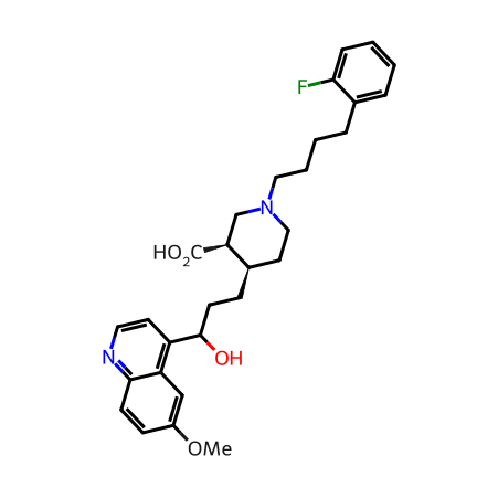 COc1ccc2nccc(C(O)CC[C@@H]3CCN(CCCCc4ccccc4F)C[C@@H]3C(=O)O)c2c1